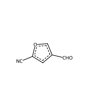 N#Cc1cc(C=O)co1